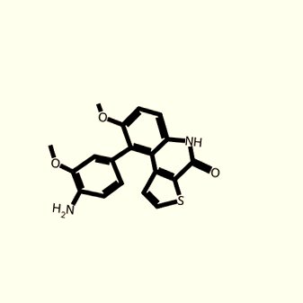 COc1cc(-c2c(OC)ccc3[nH]c(=O)c4sccc4c23)ccc1N